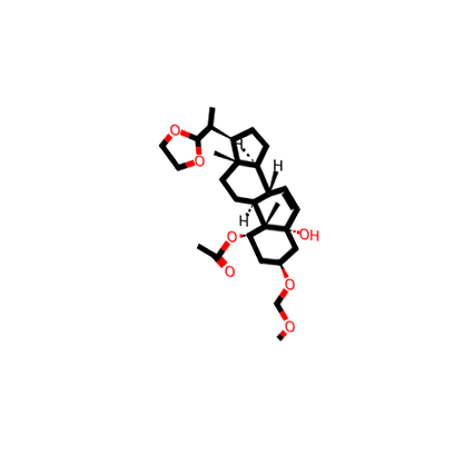 COCO[C@H]1C[C@H](OC(C)=O)[C@]2(C)[C@H]3CC[C@]4(C)[C@@H](C(C)C5OCCO5)CC[C@H]4[C@@H]3C=C[C@@]2(O)C1